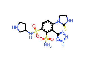 NS(=O)(=O)c1c(S(=O)(=O)NC2CCNC2)ccc(N2CCNC2=S)c1-c1nn[nH]n1